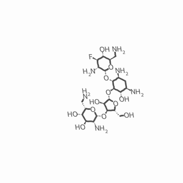 NC[C@@H]1O[C@H](O[C@H]2[C@@H](O)[C@H](O[C@@H]3[C@@H](O)[C@H](N)C[C@H](N)[C@H]3O[C@H]3O[C@H](CN)[C@@H](O)[C@H](F)[C@H]3N)O[C@@H]2CO)[C@H](N)[C@@H](O)[C@@H]1O